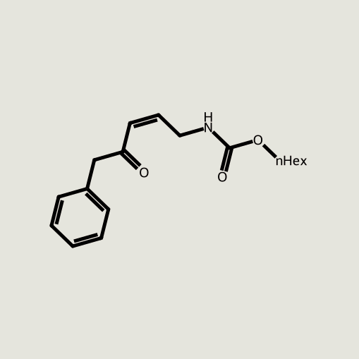 CCCCCCOC(=O)NC/C=C\C(=O)Cc1ccccc1